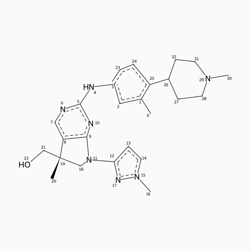 Cc1cc(Nc2ncc3c(n2)N(c2ccn(C)n2)C[C@]3(C)CO)ccc1C1CCN(C)CC1